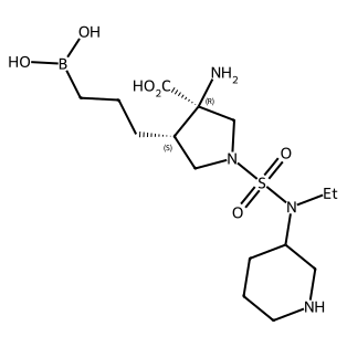 CCN(C1CCCNC1)S(=O)(=O)N1C[C@H](CCCB(O)O)[C@](N)(C(=O)O)C1